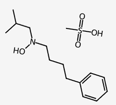 CC(C)CN(O)CCCCc1ccccc1.CS(=O)(=O)O